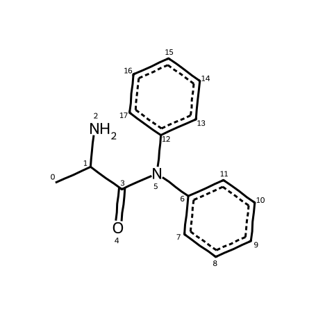 CC(N)C(=O)N(c1ccccc1)c1ccccc1